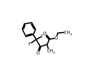 CCOC(=O)C(C)C(=O)C(F)(F)c1ccccc1